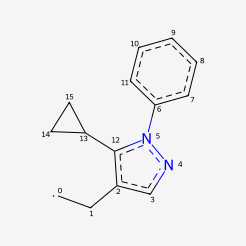 [CH2]Cc1cnn(-c2ccccc2)c1C1CC1